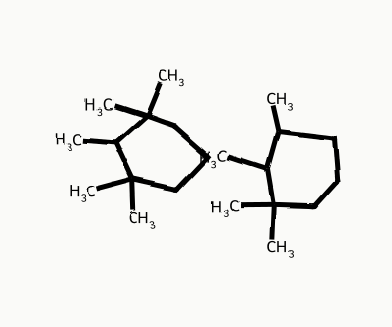 CC1C(C)(C)CCCC1(C)C.CC1CCCC(C)(C)C1C